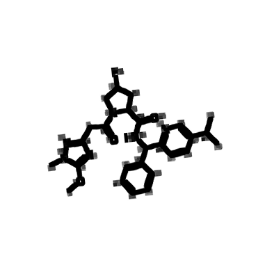 COc1nc(CC(=O)N2CC(F)CC2C(=O)NC(c2ccccc2)c2ccc(C(C)C)cn2)nn1C